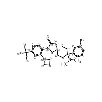 CN(C)[C@]1(c2cccc(F)c2)CC[C@]2(CC1)CN(c1cnc(C(F)(F)F)nc1N1CCC1)C(=O)N2